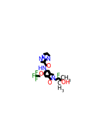 CC(C)(O)C(F)CN1Cc2cc(NC(=O)c3cnn4cccnc34)c(OCC(F)(F)F)cc2C1=O